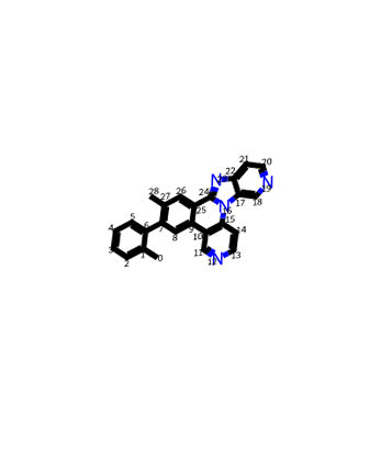 Cc1ccccc1-c1cc2c3cnccc3n3c4cnccc4nc3c2cc1C